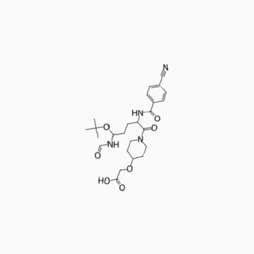 CC(C)(C)OC(CCC(NC(=O)c1ccc(C#N)cc1)C(=O)N1CCC(OCC(=O)O)CC1)NC=O